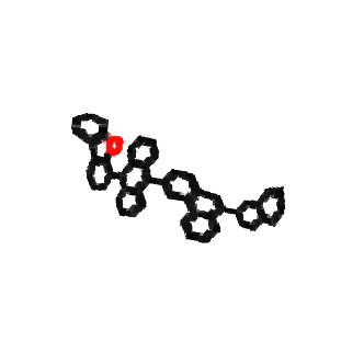 c1ccc2cc(-c3cc4ccc(-c5c6ccccc6c(-c6cccc7c6oc6ccccc67)c6ccccc56)cc4c4ccccc34)ccc2c1